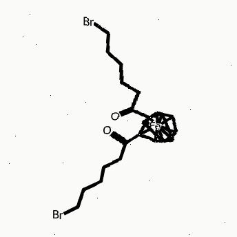 O=C(CCCCCBr)[C]12[CH]3[CH]4[CH]5[C]1(C(=O)CCCCCBr)[Fe]43521678[CH]2[CH]1[CH]6[CH]7[CH]28